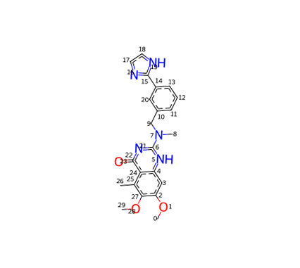 COc1cc2[nH]c(N(C)Cc3cccc(-c4ncc[nH]4)c3)nc(=O)c2c(C)c1OC